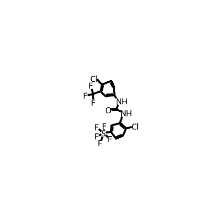 O=C(Nc1ccc(Cl)c(C(F)(F)F)c1)Nc1cc(S(F)(F)(F)(F)F)ccc1Cl